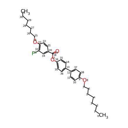 CCCCCCCCOc1ccc(-c2ccc(OC(=O)c3ccc(OCCCCCCC)c(F)c3)cc2)cc1